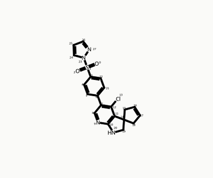 O=S(=O)(c1ccc(-c2cnc3c(c2Cl)C2(CC=CC2)CN3)cc1)n1cccn1